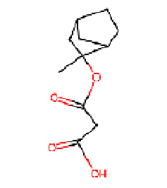 CC1(OC(=O)CC(=O)O)CC2CCC1C2